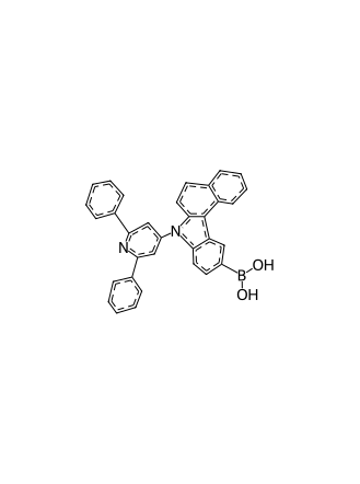 OB(O)c1ccc2c(c1)c1c3ccccc3ccc1n2-c1cc(-c2ccccc2)nc(-c2ccccc2)c1